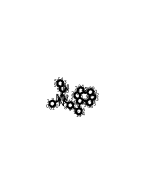 c1ccc(-c2nc(-c3ccc(-c4ccccc4-c4cc5ccc6cccc7c8cccc9ccc%10cccc(c(c4)c5c67)c%10c98)cc3)nc(-c3cnc4ccccc4c3)n2)cc1